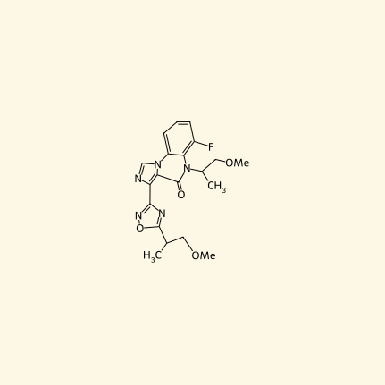 COCC(C)c1nc(-c2ncn3c2c(=O)n(C(C)COC)c2c(F)cccc23)no1